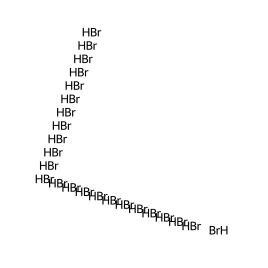 Br.Br.Br.Br.Br.Br.Br.Br.Br.Br.Br.Br.Br.Br.Br.Br.Br.Br.Br.Br.Br.Br.Br.Br